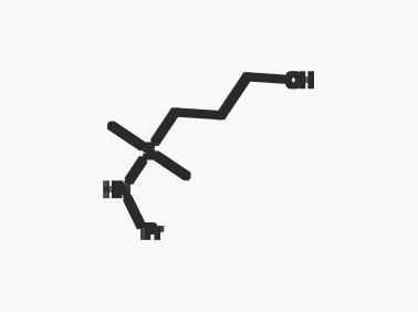 CC(C)NS(C)(C)CCCO